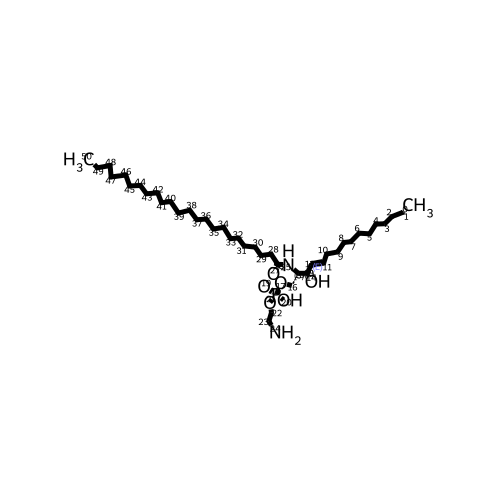 CCCCCCCCCCC/C=C/[C@@H](O)[C@H](COP(=O)(O)OCCN)NC(=O)CCCCCCCCCCCCCCCCCCCCCCC